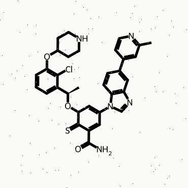 Cc1cc(-c2ccc3c(c2)ncn3C2=CC(O[C@H](C)c3cccc(OC4CCNCC4)c3Cl)C(=S)C(C(N)=O)=C2)ccn1